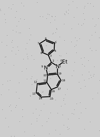 CCn1c(-c2ccccc2)nc2c3ccccc3ccc21